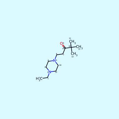 CCN1CCN(CCC(=O)C(C)(C)C)CC1